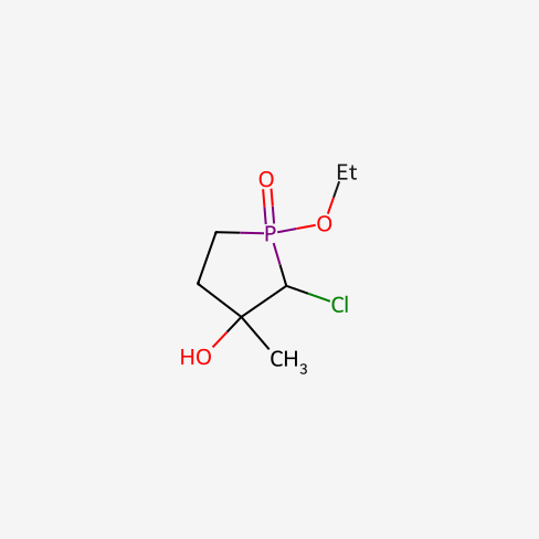 CCOP1(=O)CCC(C)(O)C1Cl